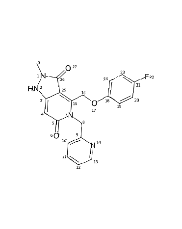 Cn1[nH]c2cc(=O)n(Cc3ccccn3)c(COc3ccc(F)cc3)c2c1=O